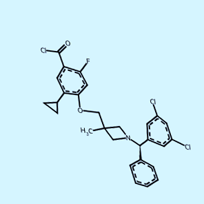 CC1(COc2cc(F)c(C(=O)Cl)cc2C2CC2)CN([C@H](c2ccccc2)c2cc(Cl)cc(Cl)c2)C1